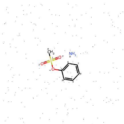 CS(=O)(=O)Oc1ccccc1.N